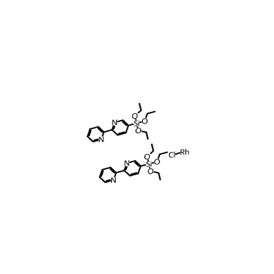 CCO[Si](OCC)(OCC)c1ccc(-c2ccccn2)nc1.CCO[Si](OCC)(OCC)c1ccc(-c2ccccn2)nc1.[Cl][Rh]